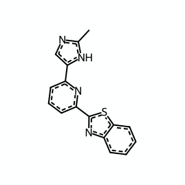 Cc1ncc(-c2cccc(-c3nc4ccccc4s3)n2)[nH]1